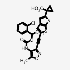 Cc1onc(C#Cc2cc3cc(C4(C(=O)O)CC4)sc3s2)c1NC(=O)OC(C)c1ccccc1Cl